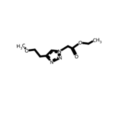 CCOC(=O)Cn1cc(CCOC)nn1